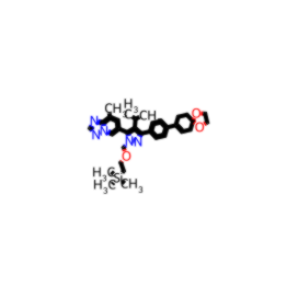 Cc1cc(-c2c(C(C)C)c(-c3ccc(C4=CCC5(CC4)OCCO5)cc3)nn2COCC[Si](C)(C)C)cn2ncnc12